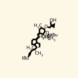 C=C1/C(=C\C=C2/CCC[C@@]3(C)C2CC[C@@H]3[C@H](C)CC#CC(C)(C)C)C[C@@H](C)[C@H](OCC2(CO)CC2)[C@@H]1O[Si](C)(C)C(C)(C)C